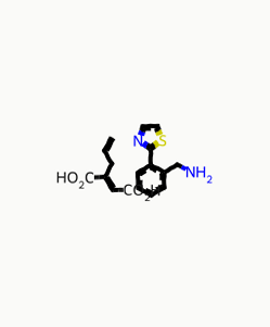 C=CC/C(=C\C(=O)O)C(=O)O.NCc1ccccc1-c1nccs1